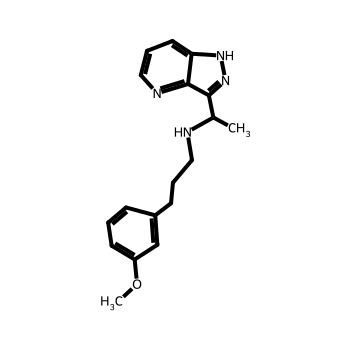 COc1cccc(CCCNC(C)c2n[nH]c3cccnc23)c1